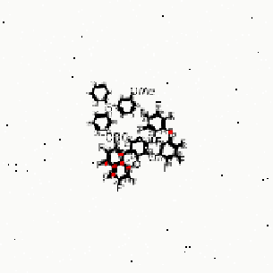 COc1cccc([S+](c2ccccc2)c2ccccc2)c1.O=C([O-])c1cc(Oc2c(F)c(F)c(F)c(F)c2F)c(Oc2c(F)c(F)c(F)c(F)c2F)c(Oc2c(F)c(F)c(F)c(F)c2F)c1-c1c(F)c(F)c(F)c(F)c1F